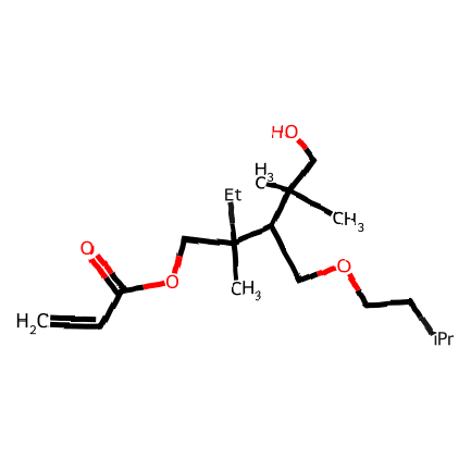 C=CC(=O)OCC(C)(CC)C(COCCC(C)C)C(C)(C)CO